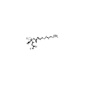 CCCCCCCCSC(=S)SC(C)(C#N)CCC(=O)O